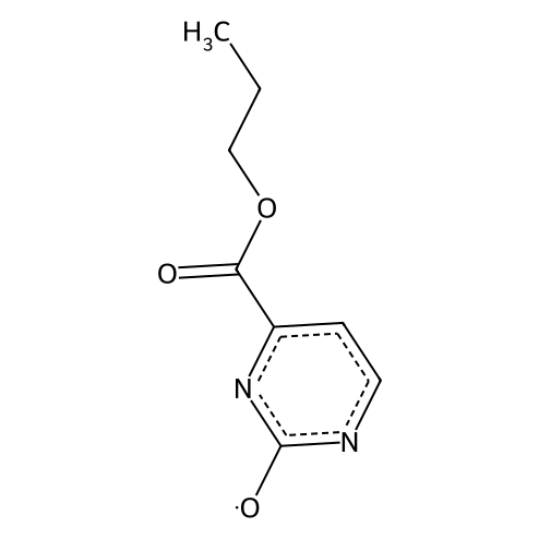 CCCOC(=O)c1ccnc([O])n1